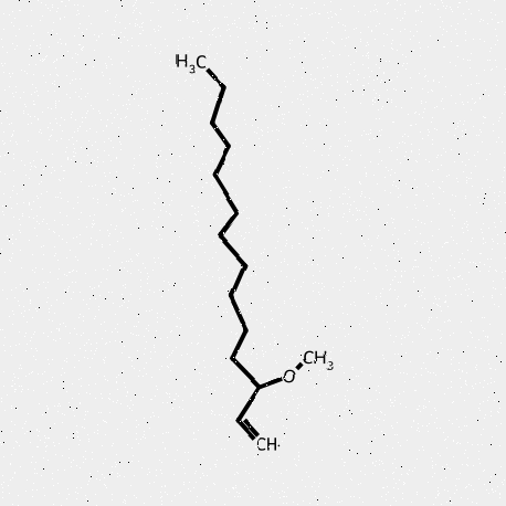 [CH]=CC(CCCCCCCCCCC)OC